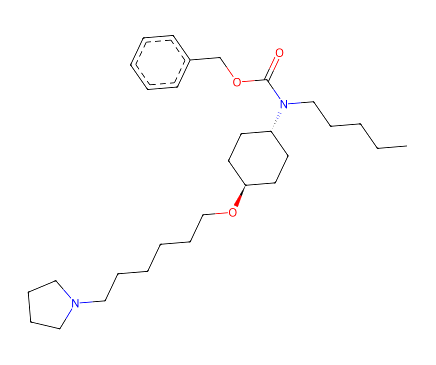 CCCCCN(C(=O)OCc1ccccc1)[C@H]1CC[C@H](OCCCCCCN2CCCC2)CC1